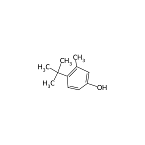 Cc1cc(O)ccc1C(C)(C)C